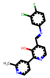 Cc1cc(-c2nccc(/C=N/c3ccc(F)c(Cl)c3)c2O)ccn1